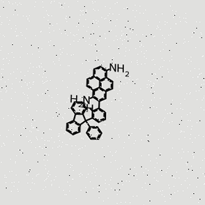 [2H]c1c(-c2cc3ccc4c(N)ccc5ccc(c2N)c3c54)cccc1C1(c2ccccc2)c2ccccc2-c2ccccc21